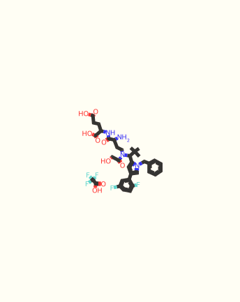 CC(C)(C)C(c1cc(-c2cc(F)ccc2F)cn1Cc1ccccc1)N(CCC(N)C(=O)NC(CCC(=O)O)C(=O)O)C(=O)CO.O=C(O)C(F)(F)F